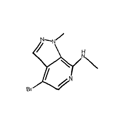 CNc1ncc(Br)c2cnn(C)c12